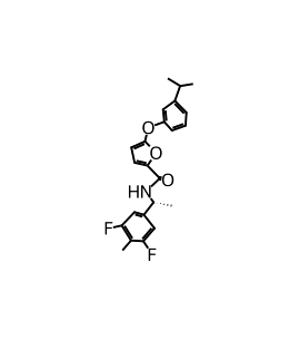 Cc1c(F)cc([C@@H](C)NC(=O)c2ccc(Oc3cccc(C(C)C)c3)o2)cc1F